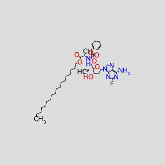 C#C[C@]1(COP(=O)(N[C@@H](C)C(=O)OCCCCCCCCCCCCCCCCCC)Oc2ccccc2)O[C@@H](n2cnc3c(N)nc(F)nc32)C[C@@H]1O